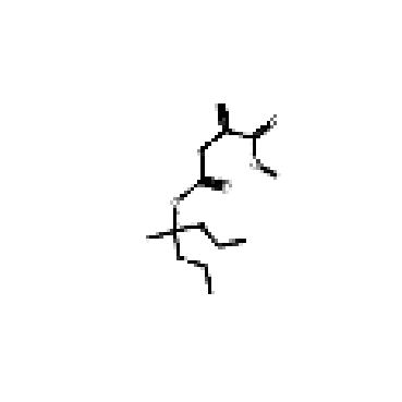 C=C(CC(=O)OC(C)(CCC)CCC)C(=O)OC